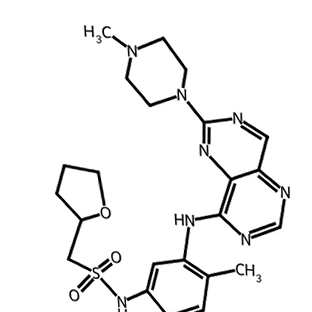 Cc1ccc(NS(=O)(=O)CC2CCCO2)cc1Nc1ncnc2cnc(N3CCN(C)CC3)nc12